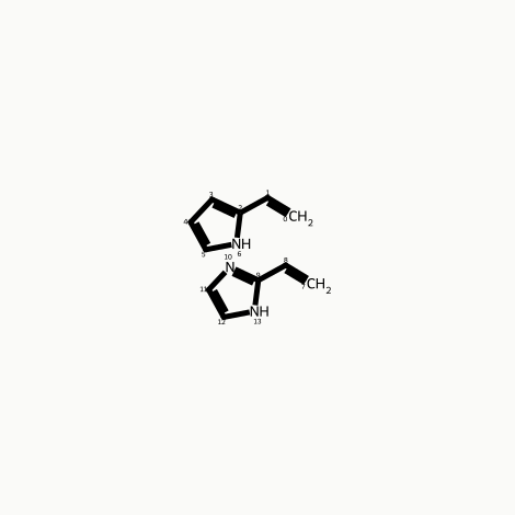 C=Cc1ccc[nH]1.C=Cc1ncc[nH]1